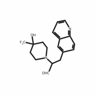 O=CC(Cc1ccc2ncccc2c1)N1CCC(O)(C(F)(F)F)CC1